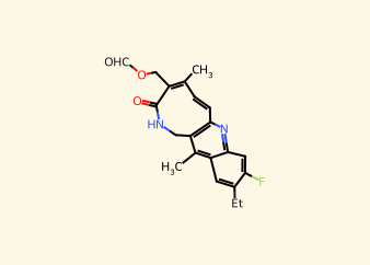 CCc1cc2c(C)c3c(nc2cc1F)/C=C/C(C)=C(/COC=O)C(=O)NC3